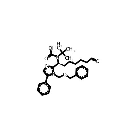 CC(C)(C)N(C(=O)O)[C@@H](CCCCCC=O)c1ncc(-c2ccccc2)n1COCc1ccccc1